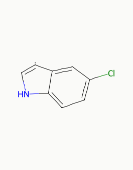 Clc1ccc2[nH]c[c]c2c1